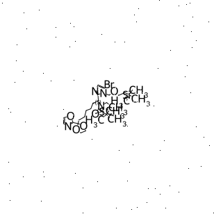 CCN([C@@H](CCCCCC1(c2ncco2)OCCO1)c1ncc(Br)n1COCC[Si](C)(C)C)[S@+]([O-])C(C)(C)C